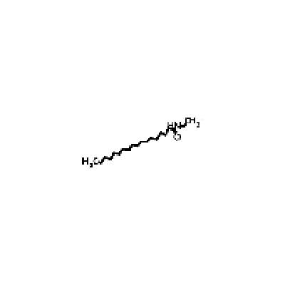 [CH2]CNC(=O)CCCCCCCCCCCCCCCCC